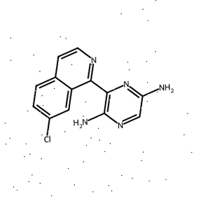 Nc1cnc(N)c(-c2nccc3ccc(Cl)cc23)n1